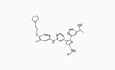 CCNc1nc(-c2cc(C(C)O)ccn2)c(-c2ccnc(Nc3ccc(OCCN4CCCC4)c(Cl)c3)n2)s1